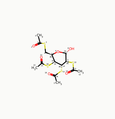 CC(=O)SC[C@H]1O[C@H](O)[C@@H](SC(C)=O)[C@H](SC(C)=O)[C@H]1SC(C)=O